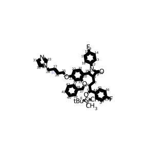 CC(C)(C)[Si](C)(C)OC(CCC1C(=O)N(c2ccc(F)cc2)C1c1ccc(OC/C=C/Cn2ccnc2)cc1OCc1ccccc1)c1ccc(F)cc1